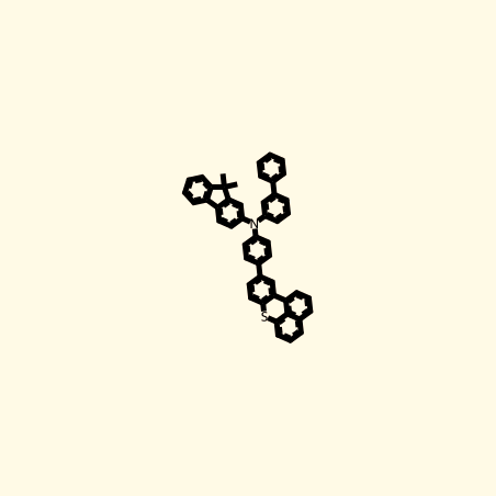 CC1(C)c2ccccc2-c2ccc(N(c3ccc(-c4ccc5c(c4)-c4cccc6cccc(c46)S5)cc3)c3cccc(-c4ccccc4)c3)cc21